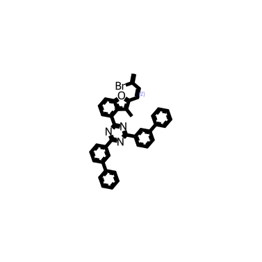 C=C(Br)/C=C\c1oc2cccc(-c3nc(-c4cccc(-c5ccccc5)c4)nc(-c4cccc(-c5ccccc5)c4)n3)c2c1C